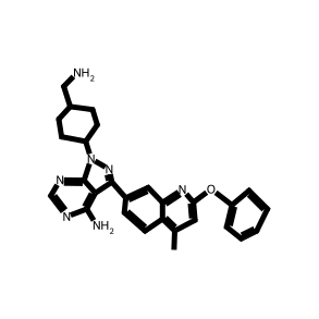 Cc1cc(Oc2ccccc2)nc2cc(-c3nn(C4CCC(CN)CC4)c4ncnc(N)c34)ccc12